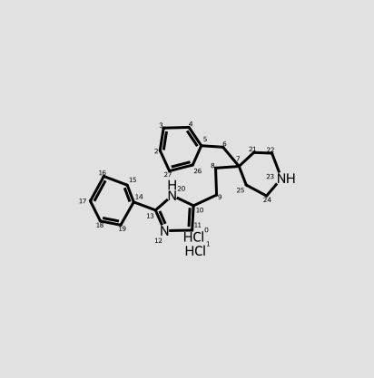 Cl.Cl.c1ccc(CC2(CCc3cnc(-c4ccccc4)[nH]3)CCNCC2)cc1